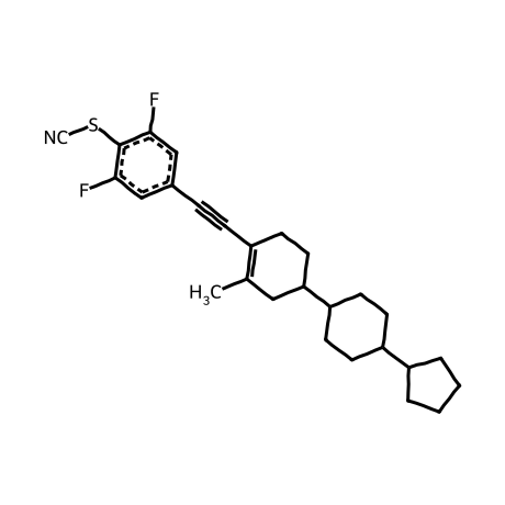 CC1=C(C#Cc2cc(F)c(SC#N)c(F)c2)CCC(C2CCC(C3CCCC3)CC2)C1